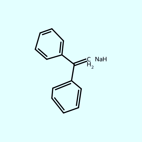 C=C(c1ccccc1)c1ccccc1.[NaH]